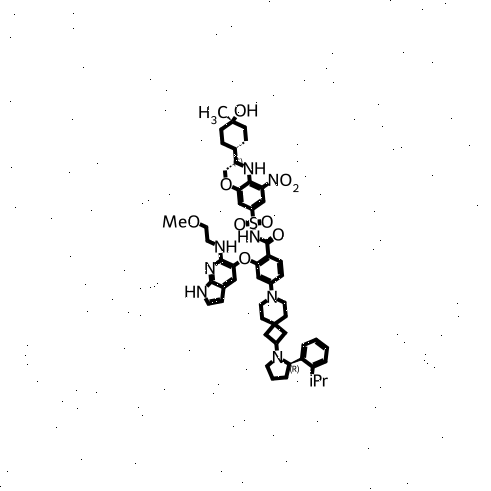 COCCNc1nc2[nH]ccc2cc1Oc1cc(N2CCC3(CC2)CC(N2CCC[C@@H]2c2ccccc2C(C)C)C3)ccc1C(=O)NS(=O)(=O)c1cc2c(c([N+](=O)[O-])c1)N[C@@H]([C@H]1CC[C@](C)(O)CC1)CO2